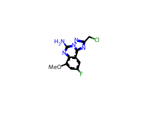 COc1cc(F)cc2c1nc(N)n1nc(CCl)nc21